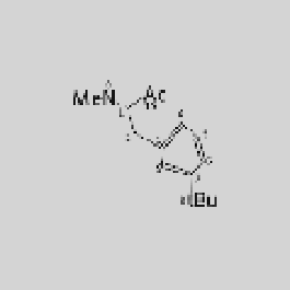 CN[C@@H](Cc1cccc(C(C)(C)C)c1)C(C)=O